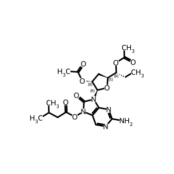 CC[C@@H](OC(C)=O)[C@@H]1C[C@@H](OC(C)=O)[C@H](n2c(=O)n(OC(=O)CC(C)C)c3cnc(N)nc32)O1